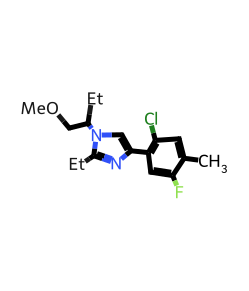 CCc1nc(-c2cc(F)c(C)cc2Cl)cn1C(CC)COC